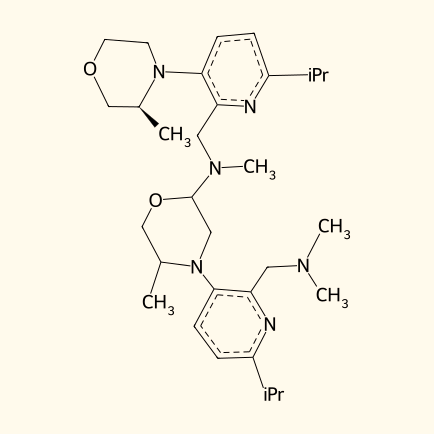 CC(C)c1ccc(N2CC(N(C)Cc3nc(C(C)C)ccc3N3CCOC[C@@H]3C)OCC2C)c(CN(C)C)n1